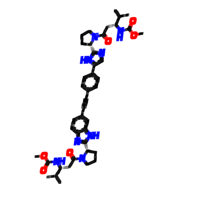 COC(=O)N[C@H](CC(=O)N1CCC[C@H]1c1ncc(-c2ccc(C#Cc3ccc4nc([C@@H]5CCCN5C(=O)C[C@@H](NC(=O)OC)C(C)C)[nH]c4c3)cc2)[nH]1)C(C)C